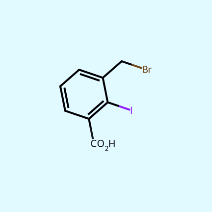 O=C(O)c1cccc(CBr)c1I